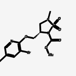 Cc1cnc(OC[C@@H]2CN(C)S(=O)(=O)N2C(=O)OC(C)(C)C)c(Br)c1